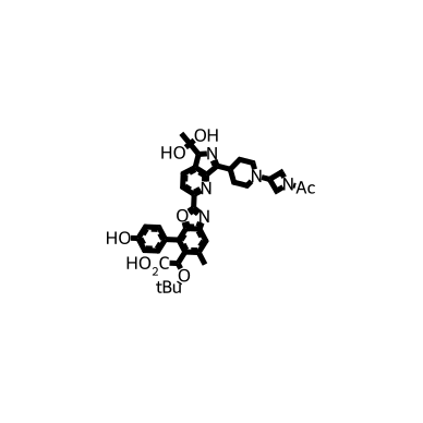 CC(=O)N1CC(N2CCC(C3=NC(C(C)(O)O)c4ccc(-c5nc6cc(C)c(C(OC(C)(C)C)C(=O)O)c(-c7ccc(O)cc7)c6o5)nc43)CC2)C1